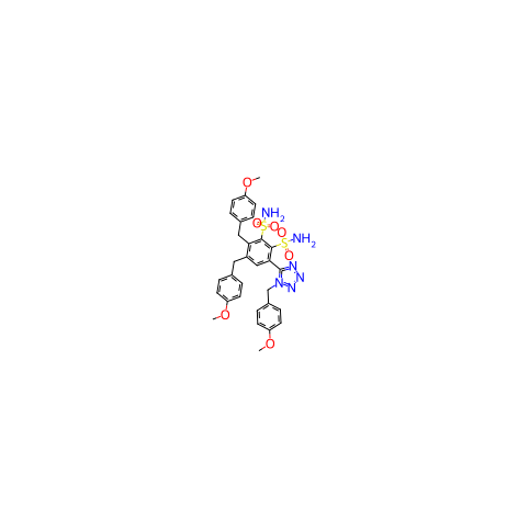 COc1ccc(Cc2cc(-c3nnnn3Cc3ccc(OC)cc3)c(S(N)(=O)=O)c(S(N)(=O)=O)c2Cc2ccc(OC)cc2)cc1